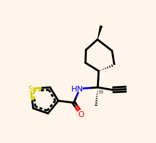 C#C[C@@](C)(NC(=O)c1ccsc1)[C@H]1CC[C@H](C)CC1